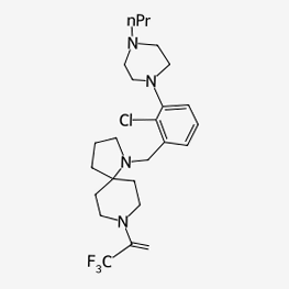 C=C(N1CCC2(CCCN2Cc2cccc(N3CCN(CCC)CC3)c2Cl)CC1)C(F)(F)F